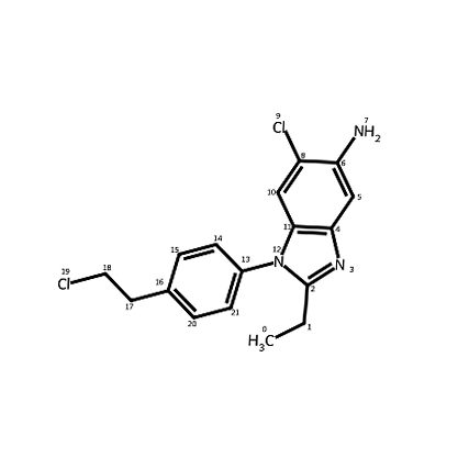 CCc1nc2cc(N)c(Cl)cc2n1-c1ccc(CCCl)cc1